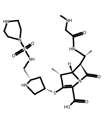 CNCC(=O)N[C@H](C)[C@H]1C(=O)N2C(C(=O)O)=C(S[C@@H]3CN[C@H](CNS(=O)(=O)N4CCNCC4)C3)[C@H](C)[C@H]12